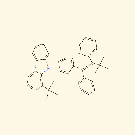 CC(C)(C)C(=C(c1ccccc1)c1ccccc1)c1ccccc1.CC(C)(C)c1cccc2c1[nH]c1ccccc12